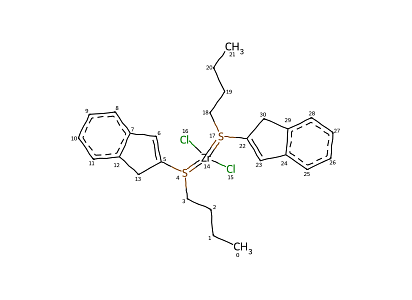 CCCC[S](C1=Cc2ccccc2C1)=[Zr]([Cl])([Cl])=[S](CCCC)C1=Cc2ccccc2C1